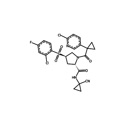 N#CC1(NC(=O)[C@@H]2C[C@@H](S(=O)(=O)c3ccc(F)cc3Cl)CN2C(=O)C2(c3ccc(Cl)nc3)CC2)CC1